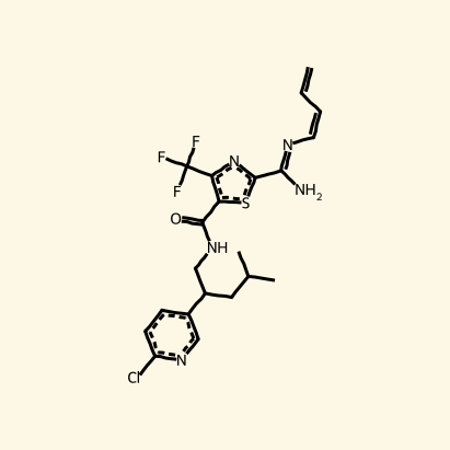 C=C/C=C\N=C(/N)c1nc(C(F)(F)F)c(C(=O)NCC(CC(C)C)c2ccc(Cl)nc2)s1